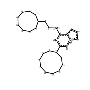 c1cc2c(NCCC3CCCCCCCC3)nc(C3CCCCCCCCC3)nn2c1